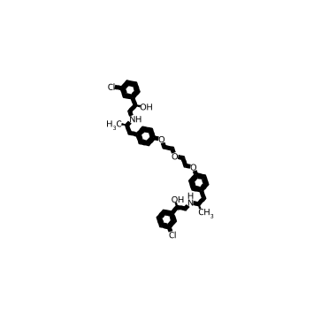 C[C@H](Cc1ccc(OCCOCCOc2ccc(C[C@@H](C)NC[C@H](O)c3cccc(Cl)c3)cc2)cc1)NC[C@H](O)c1cccc(Cl)c1